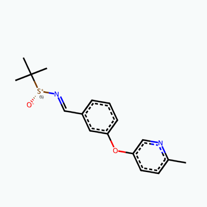 Cc1ccc(Oc2cccc(C=N[S@+]([O-])C(C)(C)C)c2)cn1